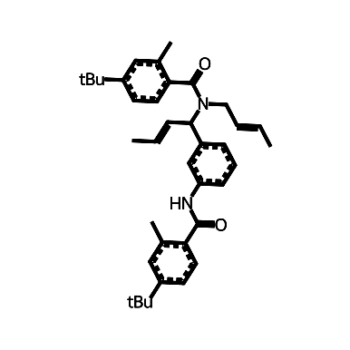 C/C=C/CN(C(=O)c1ccc(C(C)(C)C)cc1C)C(/C=C/C)c1cccc(NC(=O)c2ccc(C(C)(C)C)cc2C)c1